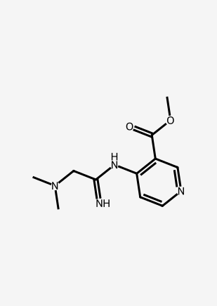 COC(=O)c1cnccc1NC(=N)CN(C)C